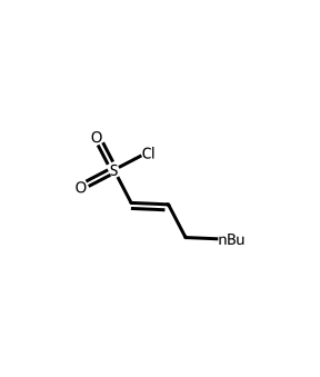 CCCCCC=CS(=O)(=O)Cl